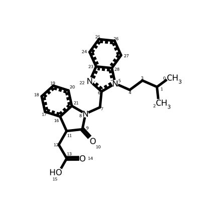 CC(C)CCn1c(CN2C(=O)C(CC(=O)O)c3ccccc32)nc2ccccc21